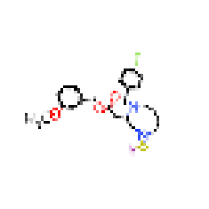 COc1cccc(COC(=O)CC2CN(SI)CCCCN2Cc2ccc(F)cc2)c1